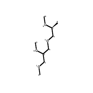 COCC(COC[C@H](C)OC)OC